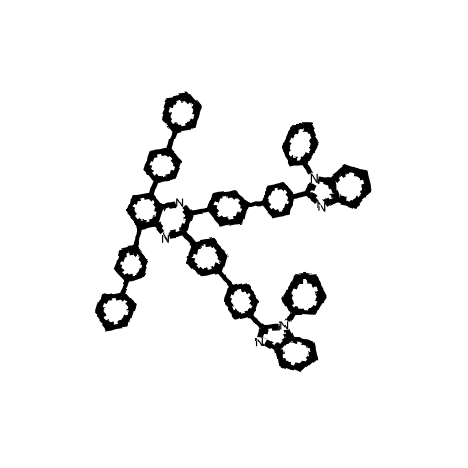 c1ccc(-c2ccc(-c3ccc(-c4ccc(-c5ccccc5)cc4)c4nc(-c5ccc(-c6ccc(-c7nc8ccccc8n7-c7ccccc7)cc6)cc5)c(-c5ccc(-c6ccc(-c7nc8ccccc8n7-c7ccccc7)cc6)cc5)nc34)cc2)cc1